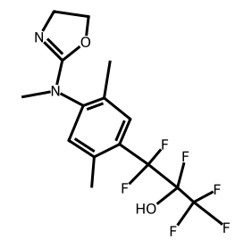 Cc1cc(C(F)(F)C(O)(F)C(F)(F)F)c(C)cc1N(C)C1=NCCO1